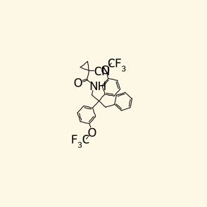 N#CC1(C(=O)NCC(Cc2ccccc2)(c2cccc(OC(F)(F)F)c2)c2cccc(OC(F)(F)F)c2)CC1